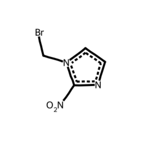 O=[N+]([O-])c1nccn1CBr